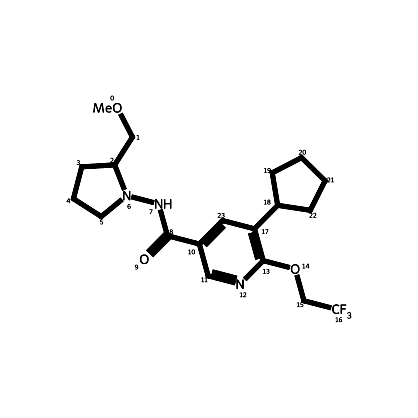 COCC1CCCN1NC(=O)c1cnc(OCC(F)(F)F)c(C2CCCC2)c1